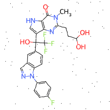 Cn1c(CCC(O)O)nc2c(C(O)(c3ccc4c(cnn4-c4ccc(F)cc4)c3)C(F)(F)F)c[nH]c2c1=O